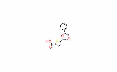 O=C(O)c1ccc(C2=COC=C(C3=CC=CCC3)O2)s1